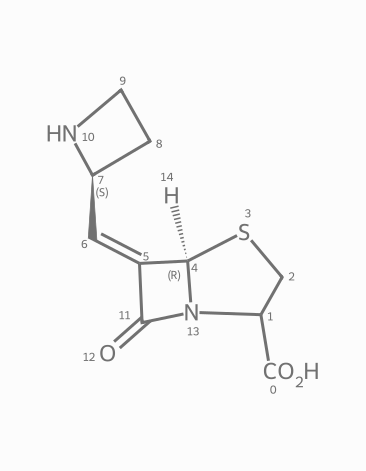 O=C(O)C1CS[C@@H]2C(=C[C@@H]3CCN3)C(=O)N12